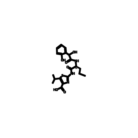 CCC[C@H](NC(=O)C(O)c1ccccc1O)C(=O)Nc1nc(C(=O)O)c(C(C)C)s1